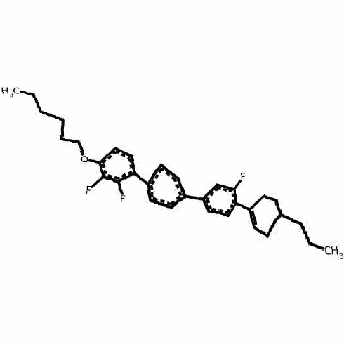 CCCCCCOc1ccc(-c2ccc(-c3ccc(C4=CCC(CCC)CC4)c(F)c3)cc2)c(F)c1F